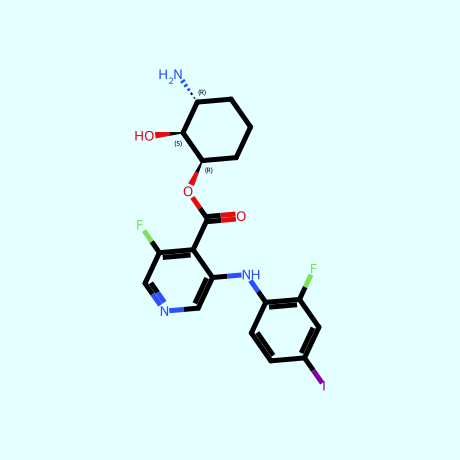 N[C@@H]1CCC[C@@H](OC(=O)c2c(F)cncc2Nc2ccc(I)cc2F)[C@H]1O